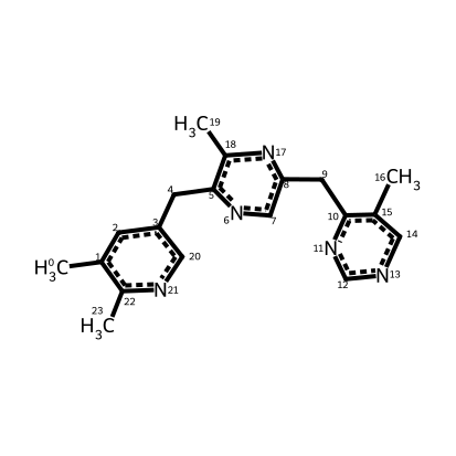 Cc1cc(Cc2ncc(Cc3ncncc3C)nc2C)cnc1C